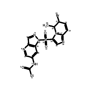 CCC(=O)Nc1cnc2cnn(S(=O)(=O)c3cnc4n3C(C)C(Br)C=C4)c2c1